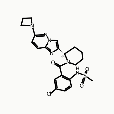 CS(=O)(=O)Nc1ccc(Cl)cc1C(=O)N1CCCC[C@H]1c1cn2nc(N3CCC3)ccc2n1